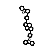 C1=Cc2oc3c(-c4ccc(-c5ccc6ccc7c(-c8ccc(-n9c%10ccccc%10c%10ccccc%109)cc8)ccc8ccc5c6c87)cc4)cccc3c2CC1